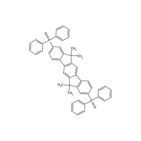 CC1(C)c2cc(P(=O)(c3ccccc3)c3ccccc3)ccc2-c2cc3c(cc21)-c1ccc(P(=O)(c2ccccc2)c2ccccc2)cc1C3(C)C